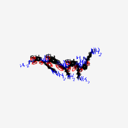 COc1ccc(NC(=O)[C@H](CCCCN)NC(=O)c2cc(NC(=O)[C@H](CCCCN)NC(=O)c3cc(NC(=O)[C@H](CCCCCN)NC(=O)c4cccc(NC(=O)[C@@H](N)CCCCN)c4)ccc3OC)ccc2OC)cc1C(N)=O